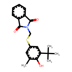 Cc1cc(SCN2C(=O)c3ccccc3C2=O)cc(C(C)(C)C)c1O